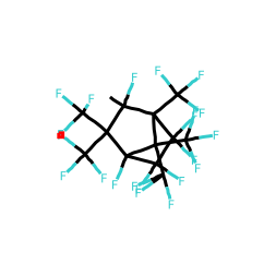 CC1(F)C(C(F)(F)F)(C(F)(F)F)C2(F)C(F)(F)C(F)(F)C1(C(F)(F)F)C2(C(F)(F)F)C(F)(F)F